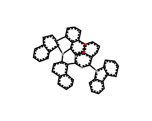 c1ccc2c(-c3nc(-n4c5ccccc5c5ccccc54)c4ccccc4n3)c(N3c4c(ccc5ccccc45)-c4cccc5cccc3c45)ccc2c1